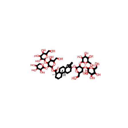 C=C1C[C@@]23CCC4[C@](C)(C(=O)OC5OC(CO)C(O)C(OC6OC(CO)C(O)C(O)C6O)C5OC5OCC(O)C(O)C5O)CCC[C@@]4(C)[C@@H]2CC[C@]1(OC1OC(CO)C(O)C(OC2OC(CO)C(O)C(O)C2O)C1OC1OC(CO)C(O)C(O)C1O)C3